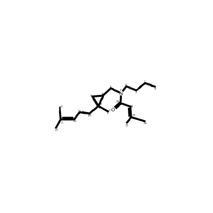 CCCCN(CC1CC1(C)CCC=C(C)C)C(=O)C=C(C)C